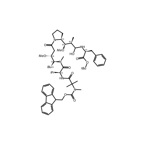 CC[C@H](C)[C@@H]([C@@H](CC(=O)N1CCC[C@H]1[C@H](OC)[C@@H](C)C(O)N[C@@H](Cc1ccccc1)C(=O)OC(C)(C)C)OC)N(C)C(=O)[C@@H](NC(=O)C(C)(C)N(C)C(=O)OCC1c2ccccc2-c2ccccc21)C(C)C